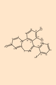 O=c1ccn2c(n1)CN=C(c1ncccc1F)c1c-2ccc(Cl)c1Cl